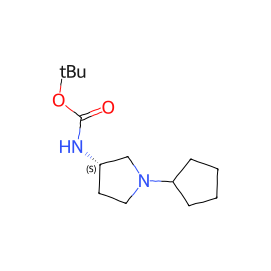 CC(C)(C)OC(=O)N[C@H]1CCN(C2CCCC2)C1